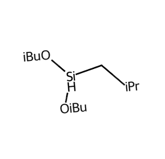 CC(C)CO[SiH](CC(C)C)OCC(C)C